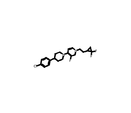 FC1=C(N2CCC(c3ccc(Cl)cc3)CC2)C=CN(CCC2CC2(F)F)C1